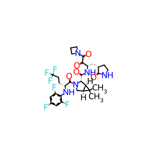 CC1(C)[C@@H]2[C@@H](C(=O)N[C@@H](C[C@@H]3CCNC3=O)C(=O)C(=O)N3CCC3)N(C(=O)[C@@H](CCC(F)(F)F)Nc3c(F)cc(F)cc3F)C[C@@H]21